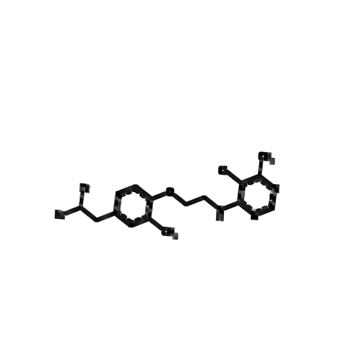 CCC(CC)Cc1ccc(OCCNc2ncnc(C)c2Cl)c(C)c1